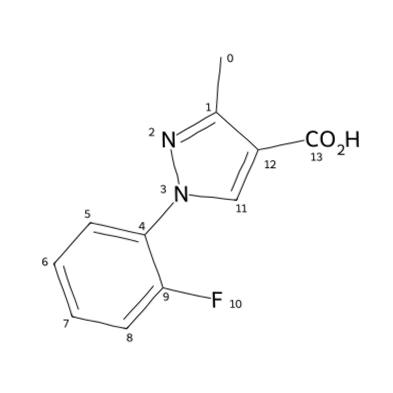 Cc1nn(-c2ccccc2F)cc1C(=O)O